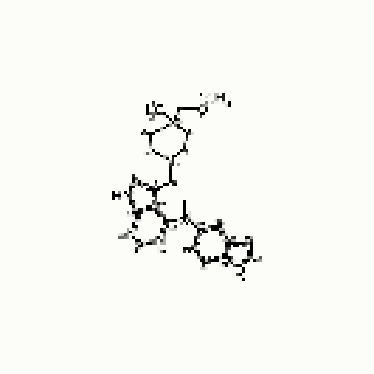 COCC1(C)CCN(Cc2c[nH]c3ncnc(Nc4ccc5occc5c4)c23)CC1